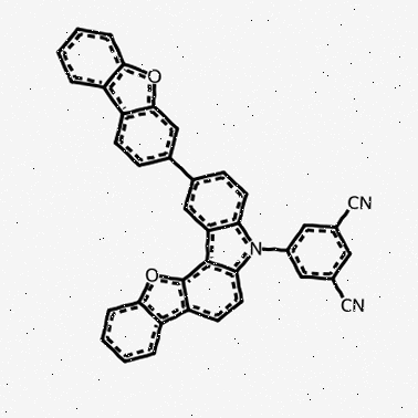 N#Cc1cc(C#N)cc(-n2c3ccc(-c4ccc5c(c4)oc4ccccc45)cc3c3c4oc5ccccc5c4ccc32)c1